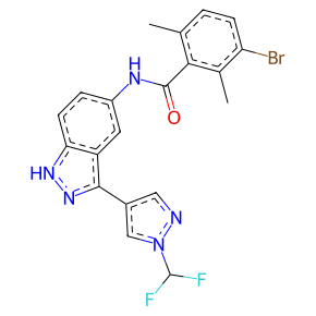 Cc1ccc(Br)c(C)c1C(=O)Nc1ccc2[nH]nc(-c3cnn(C(F)F)c3)c2c1